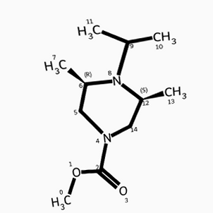 COC(=O)N1C[C@@H](C)N(C(C)C)[C@@H](C)C1